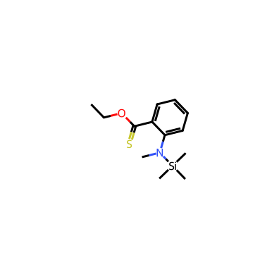 CCOC(=S)c1ccccc1N(C)[Si](C)(C)C